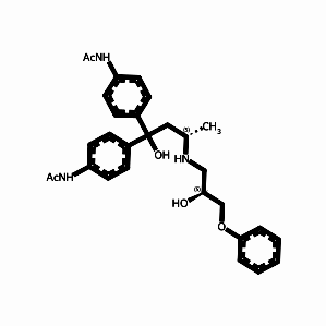 CC(=O)Nc1ccc(C(O)(C[C@H](C)NC[C@H](O)COc2ccccc2)c2ccc(NC(C)=O)cc2)cc1